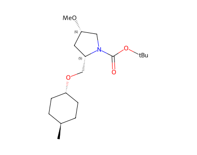 CO[C@H]1C[C@@H](CO[C@H]2CC[C@H](C)CC2)N(C(=O)OC(C)(C)C)C1